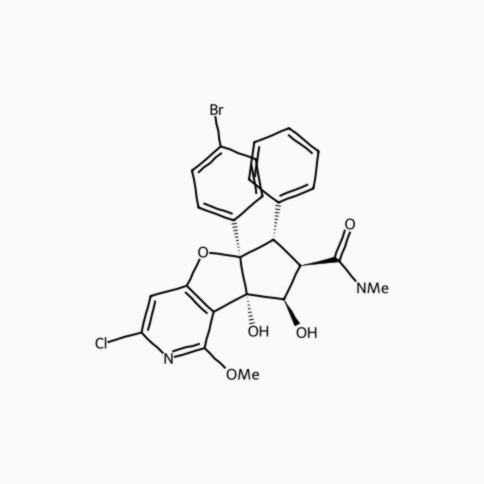 CNC(=O)[C@H]1[C@@H](O)[C@@]2(O)c3c(cc(Cl)nc3OC)O[C@@]2(c2ccc(Br)cc2)[C@@H]1c1ccccc1